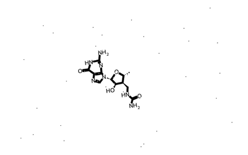 C[C@H]1O[C@@H](n2cnc3c(=O)[nH]c(N)nc32)[C@H](O)[C@@H]1CNC(N)=O